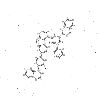 c1ccc(C2N=C(c3ccc4ccccc4c3)N=C(c3cccc4oc5cc(-c6ccc(-c7cccc8ccccc78)cc6)ccc5c34)N2)cc1